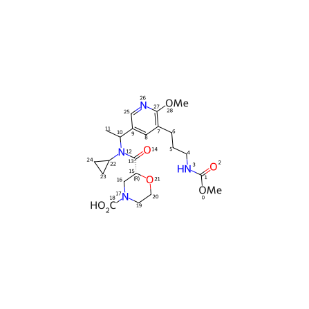 COC(=O)NCCCc1cc(C(C)N(C(=O)[C@H]2CN(C(=O)O)CCO2)C2CC2)cnc1OC